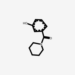 O=C(c1cccc(O)c1)N1CCCCC1